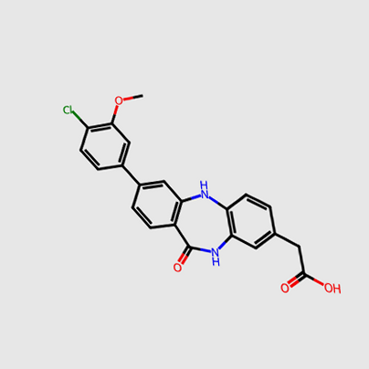 COc1cc(-c2ccc3c(c2)Nc2ccc(CC(=O)O)cc2NC3=O)ccc1Cl